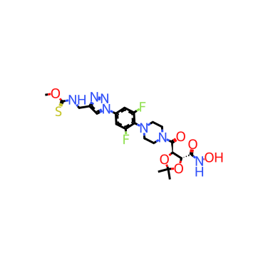 COC(=S)NCc1cn(-c2cc(F)c(N3CCN(C(=O)[C@@H]4OC(C)(C)O[C@H]4C(=O)NO)CC3)c(F)c2)nn1